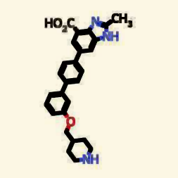 Cc1nc2c(C(=O)O)cc(-c3ccc(-c4cccc(OCC5CCNCC5)c4)cc3)cc2[nH]1